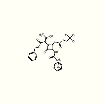 CC(=O)NC1C(=O)N(C(C(=O)OCc2ccccc2)=C(C)C)C1SC(=O)OCC(Cl)(Cl)Cl.c1cc2cc(c1)O2